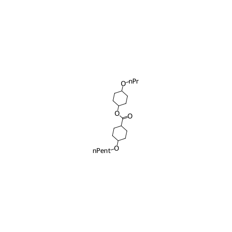 CCCCCOC1CCC(C(=O)OC2CCC(OCCC)CC2)CC1